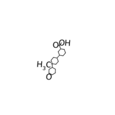 CC1(C2CCC3OC3C2)CCC(C2CCCC(C(=O)O)C2)CC1